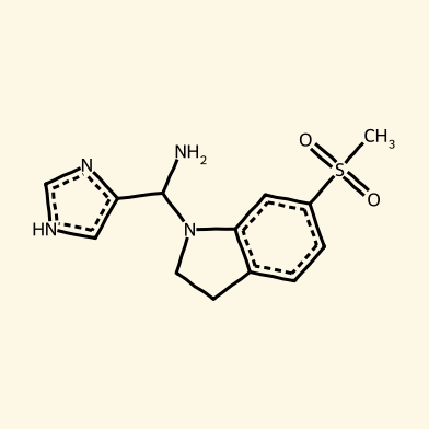 CS(=O)(=O)c1ccc2c(c1)N(C(N)c1c[nH]cn1)CC2